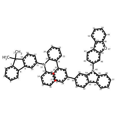 CC1(C)c2ccccc2-c2cc(N(c3ccccc3)c3ccccc3-c3cccc(-c4ccc5c6ccccc6n(-c6ccc7c(c6)oc6ccccc67)c5c4)c3)ccc21